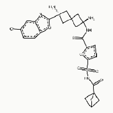 N[C@]1(NC(=O)c2ccc(S(=O)(=O)NC(=O)C34CC(C3)C4)o2)CC2(C1)C[C@](N)(c1nc3cc(Cl)ccc3o1)C2